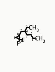 CCCCC(CC)CC1CC1(F)F